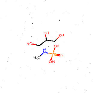 CNP(=O)(O)O.OCC(O)CO